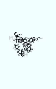 CC(=O)[O-].CC(=O)[O-].Oc1ccc(-c2ccccc2)cc1C=Nc1cccc2cccc(N=Cc3cc(-c4ccccc4)ccc3O)c12.[Co+2]